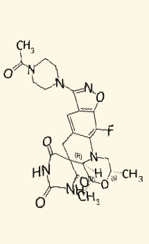 CC(=O)N1CCN(c2noc3c(F)c4c(cc23)CC2(C(=O)NC(=O)NC2=O)[C@@H]2[C@@H](C)O[C@@H](C)CN42)CC1